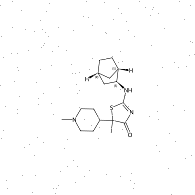 CN1CCC(C2(C)SC(N[C@H]3C[C@@H]4CC[C@H]3C4)=NC2=O)CC1